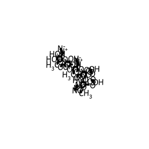 CO[C@H]1OC(COS(=O)(=O)O)[C@@H](O[C@@H]2OC(C=O)[C@@H](O[C@H]3OC(C)[C@@H](O[C@@H]4OC(C=O)[C@@H](O[C@H]5OC(C)[C@@H](O)[C@H](O)C5N=[N+]=[N-])[C@H](O)C4O)CC3N=[N+]=[N-])[C@H](O)C2OS(=O)(=O)O)[C@H](O)C1N=[N+]=[N-]